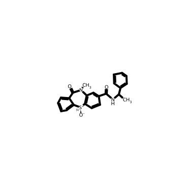 CC(NC(=O)c1ccc2c(c1)N(C)C(=O)c1ccccc1[S@@+]2[O-])c1ccccc1